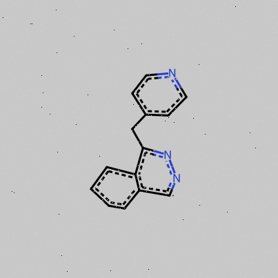 [c]1nnc(Cc2ccncc2)c2ccccc12